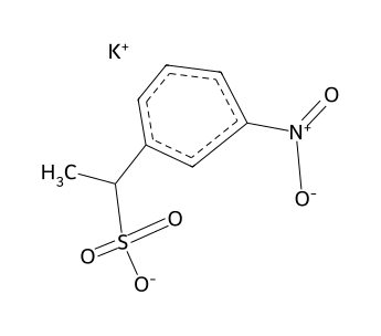 CC(c1cccc([N+](=O)[O-])c1)S(=O)(=O)[O-].[K+]